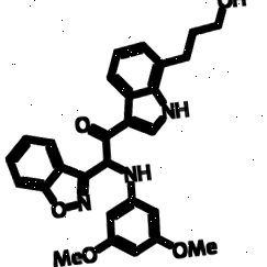 COc1cc(NC(C(=O)c2c[nH]c3c(CCCO)cccc23)c2noc3ccccc23)cc(OC)c1